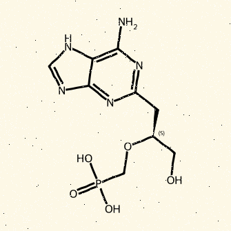 Nc1nc(C[C@@H](CO)OCP(=O)(O)O)nc2nc[nH]c12